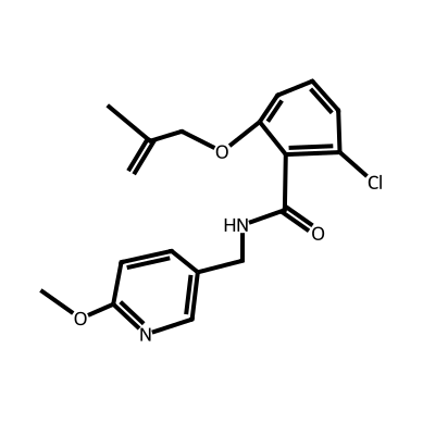 C=C(C)COc1cccc(Cl)c1C(=O)NCc1ccc(OC)nc1